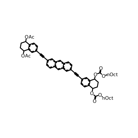 CCCCCCCCOC(=O)OC1CCC(OC(=O)OCCCCCCCC)c2cc(C#Cc3ccc4cc5cc(C#Cc6ccc7c(c6)C(OC(C)=O)CCC7OC(C)=O)ccc5cc4c3)ccc21